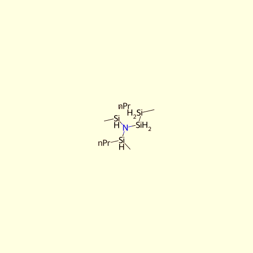 CCC[SiH](C)N([SiH2][SiH2]C)[SiH](C)CCC